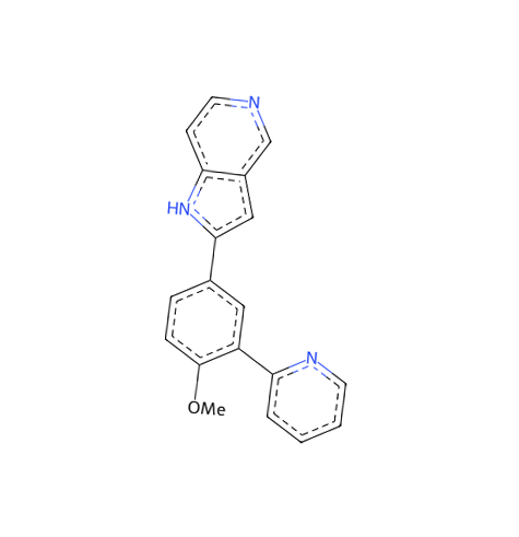 COc1ccc(-c2cc3cnccc3[nH]2)cc1-c1ccccn1